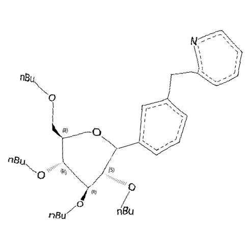 CCCCOC[C@H]1OC(c2cccc(Cc3ccccn3)c2)[C@H](OCCCC)[C@@H](OCCCC)[C@@H]1OCCCC